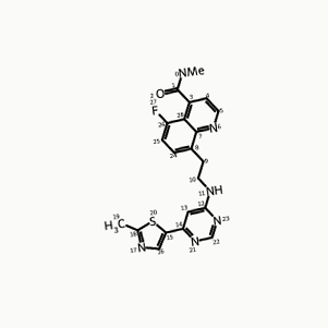 CNC(=O)c1ccnc2c(CCNc3cc(-c4cnc(C)s4)ncn3)ccc(F)c12